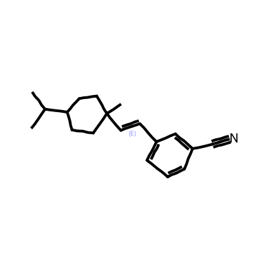 CC(C)C1CCC(C)(/C=C/c2cccc(C#N)c2)CC1